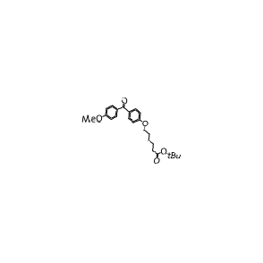 COc1ccc(C(=O)c2ccc(OCCCCCC(=O)OC(C)(C)C)cc2)cc1